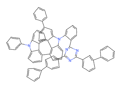 c1ccc(-c2ccc(-c3nc(-c4cccc(-c5ccccc5)c4)nc(-c4ccccc4-n4c5cc(-c6ccccc6)ccc5c5c(-c6cccc7c6c6ccccc6n7-c6ccccc6)cccc54)n3)cc2)cc1